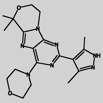 Cc1n[nH]c(C)c1-c1nc(N2CCOCC2)c2nc3n(c2n1)CCOC3(C)C